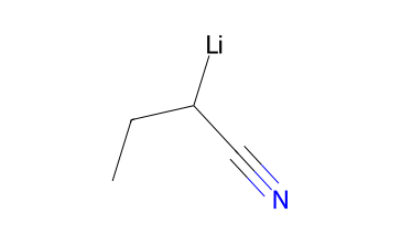 [Li][CH](C#N)CC